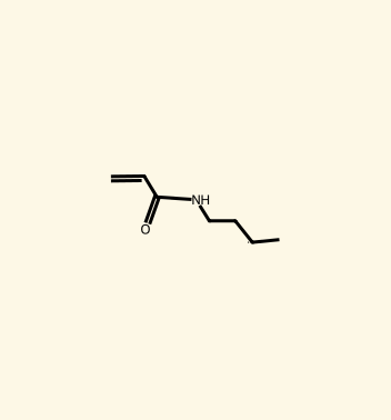 C=CC(=O)NCC[CH]C